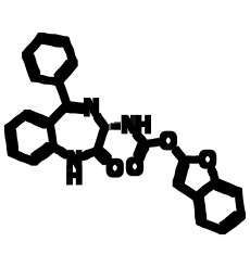 O=C(N[C@H]1N=C(c2ccccc2)c2ccccc2NC1=O)Oc1cc2ccccc2o1